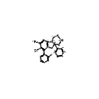 Fc1ccccc1-c1c(Cl)c(F)cc2c1CC1(c3ccccc3)CNCCN21